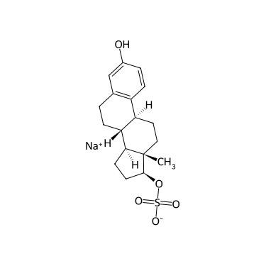 C[C@]12CC[C@@H]3c4ccc(O)cc4CC[C@H]3[C@@H]1CC[C@@H]2OS(=O)(=O)[O-].[Na+]